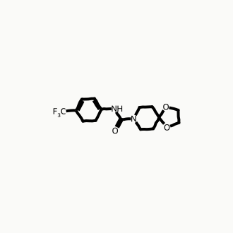 O=C(NC1=CC=C(C(F)(F)F)CC1)N1CCC2(CC1)OCCO2